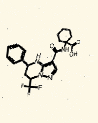 O=C(NC1(C(=O)O)CCCCC1)c1cnn2c1NC(c1ccccc1)CC2C(F)(F)F